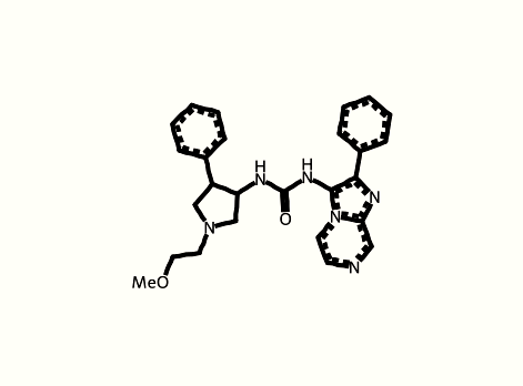 COCCN1CC(NC(=O)Nc2c(-c3ccccc3)nc3cnccn23)C(c2ccccc2)C1